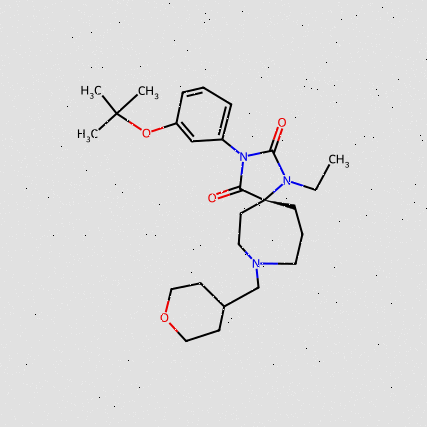 CCN1C(=O)N(c2cccc(OC(C)(C)C)c2)C(=O)[C@]12CCCN(CC1CCOCC1)CC2